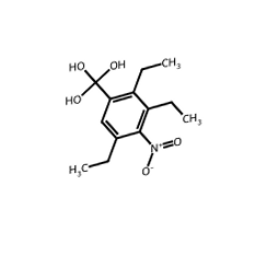 CCc1cc(C(O)(O)O)c(CC)c(CC)c1[N+](=O)[O-]